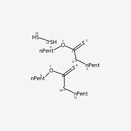 CCCCCOC(=S)SCCCCC.CCCCCOC(=S)SCCCCC.SS